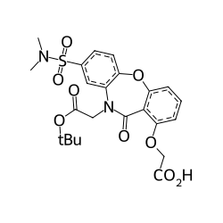 CN(C)S(=O)(=O)c1ccc2c(c1)N(CC(=O)OC(C)(C)C)C(=O)c1c(OCC(=O)O)cccc1O2